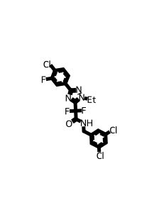 CCn1nc(-c2ccc(Cl)c(F)c2)nc1C(F)(F)C(=O)NCc1cc(Cl)cc(Cl)c1